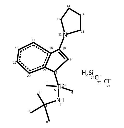 CC(C)(C)[NH][Ti+2]([CH3])([CH3])[CH]1C=C(N2CCCC2)c2ccccc21.[Cl-].[Cl-].[SiH4]